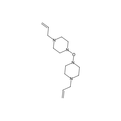 C=CCN1CCN(ON2CCN(CC=C)CC2)CC1